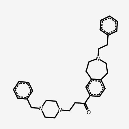 O=C(CCN1CCN(Cc2ccccc2)CC1)c1ccc2c(c1)CCN(CCc1ccccc1)CC2